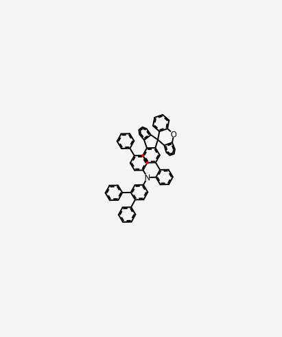 c1ccc(-c2ccc(N(c3ccc(-c4ccccc4)c(-c4ccccc4)c3)c3ccccc3-c3ccc4c(c3)C3(c5ccccc5Oc5ccccc53)c3ccccc3-4)cc2)cc1